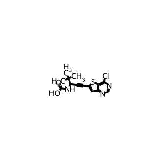 CC(C)(C)C(C#Cc1cc2ncnc(Cl)c2s1)NC(=O)O